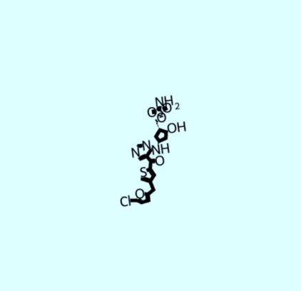 NS(=O)(=O)OC[C@H]1C[C@@H](Nc2ncncc2C(=O)c2cc(Cc3ccc(Cl)o3)cs2)C[C@@H]1O